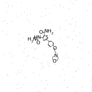 NC(=O)Nc1cc(-c2ccc(OCCN3CCOCC3)cc2)sc1C(N)=O